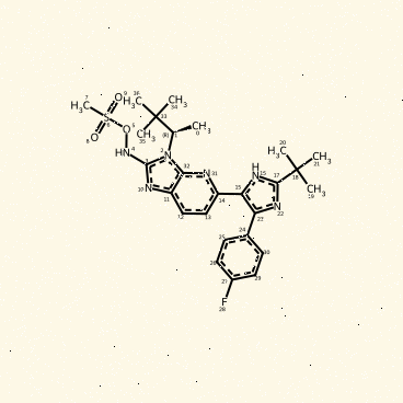 C[C@@H](n1c(NOS(C)(=O)=O)nc2ccc(-c3[nH]c(C(C)(C)C)nc3-c3ccc(F)cc3)nc21)C(C)(C)C